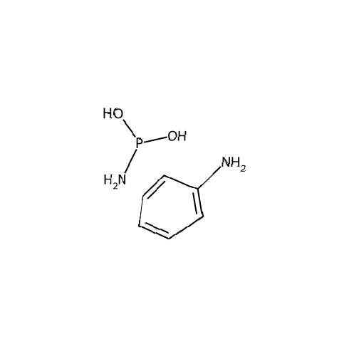 NP(O)O.Nc1ccccc1